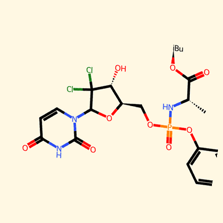 CC[C@H](C)OC(=O)[C@H](C)NP(=O)(OC[C@H]1OC(n2ccc(=O)[nH]c2=O)C(Cl)(Cl)[C@@H]1O)Oc1ccccc1